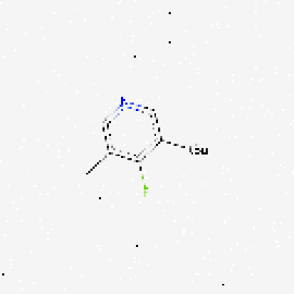 Cc1cncc(C(C)(C)C)c1F